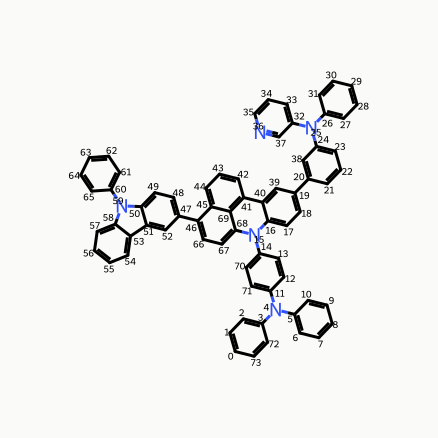 c1ccc(N(c2ccccc2)c2ccc(N3c4ccc(-c5cccc(N(c6ccccc6)c6cccnc6)c5)cc4-c4cccc5c(-c6ccc7c(c6)c6ccccc6n7-c6ccccc6)ccc3c45)cc2)cc1